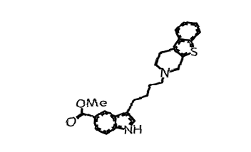 COC(=O)c1ccc2[nH]cc(CCCCN3CCc4c(sc5ccccc45)C3)c2c1